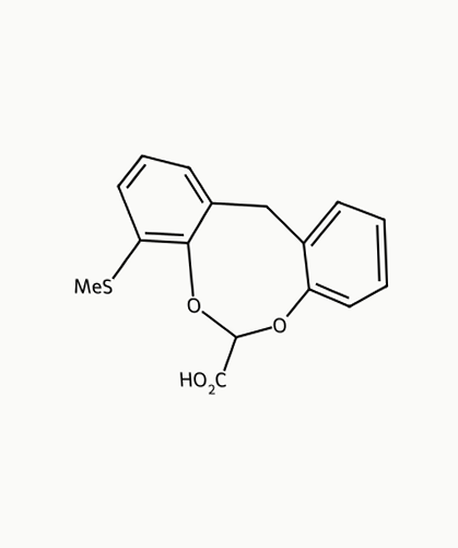 CSc1cccc2c1OC(C(=O)O)Oc1ccccc1C2